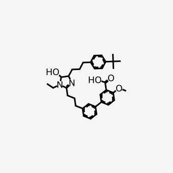 CCN1C(CCCc2cccc(-c3ccc(OC)c(C(=O)O)c3)c2)=NC(CCCc2ccc(C(C)(C)C)cc2)C1O